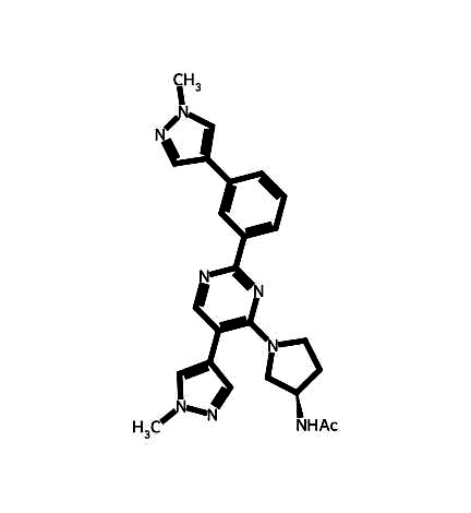 CC(=O)N[C@@H]1CCN(c2nc(-c3cccc(-c4cnn(C)c4)c3)ncc2-c2cnn(C)c2)C1